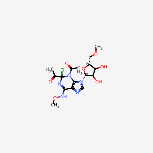 COC[C@H]1O[C@@H](n2cnc3c2N(C(C)=O)C(Cl)(C(C)=O)N=C3NOC)C(O)C1O